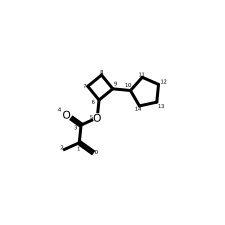 C=C(C)C(=O)OC1CCC1C1CCCC1